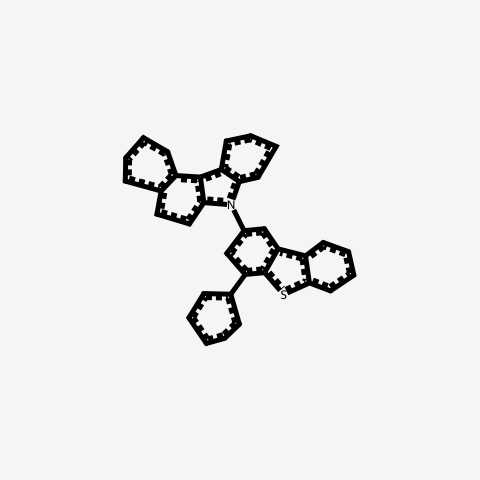 c1ccc(-c2cc(-n3c4ccccc4c4c5ccccc5ccc43)cc3c2sc2ccccc23)cc1